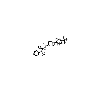 CO[C@H](C(=O)O[C@H](C)C1CCN(c2ncc(C(F)(F)F)cn2)CC1)c1ccccc1